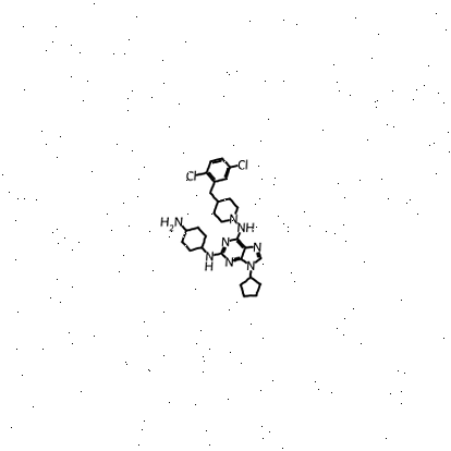 NC1CCC(Nc2nc(NN3CCC(Cc4cc(Cl)ccc4Cl)CC3)c3ncn(C4CCCC4)c3n2)CC1